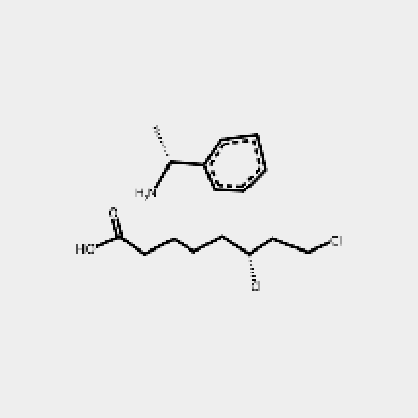 C[C@@H](N)c1ccccc1.O=C(O)CCCC[C@@H](Cl)CCCl